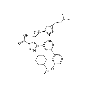 C[C@H](Oc1cccc(-c2cccc(-n3ncc(C(=O)O)c3[C@@H]3C[C@H]3c3cn(CCN(C)C)nn3)c2)c1)C1CCCCC1